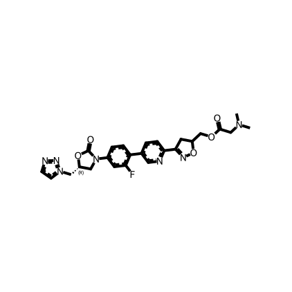 CN(C)CC(=O)OCC1CC(c2ccc(-c3ccc(N4C[C@H](Cn5ccnn5)OC4=O)cc3F)cn2)=NO1